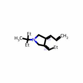 C=C/C=C1/CN(C(C)(CC)CC)C/C1=C/CC